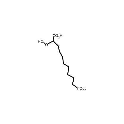 CCCCCCCCCCCCCCCCC(OO)C(=O)O